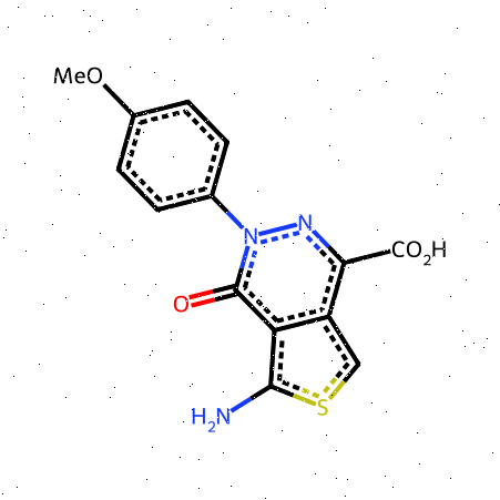 COc1ccc(-n2nc(C(=O)O)c3csc(N)c3c2=O)cc1